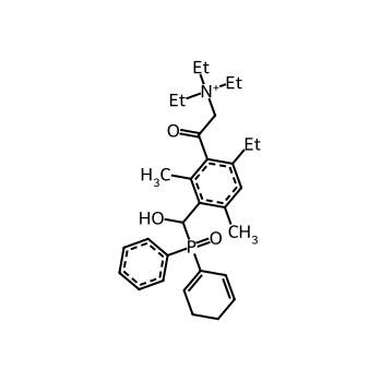 CCc1cc(C)c(C(O)P(=O)(C2=CCCC=C2)c2ccccc2)c(C)c1C(=O)C[N+](CC)(CC)CC